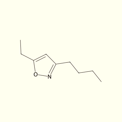 CCCCc1cc(CC)on1